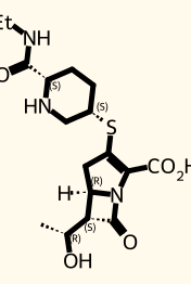 CCNC(=O)[C@@H]1CC[C@H](SC2=C(C(=O)O)N3C(=O)[C@H]([C@@H](C)O)[C@H]3C2)CN1